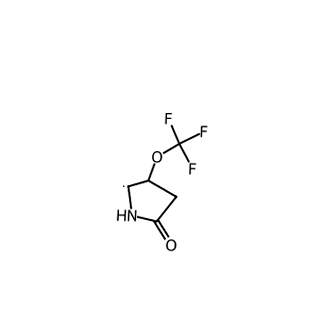 O=C1CC(OC(F)(F)F)[CH]N1